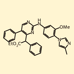 CCOC(=O)C(c1ccccc1)c1nc(Nc2ccc(-n3cnc(C)c3)c(OC)c2)ncc1-c1ccccc1